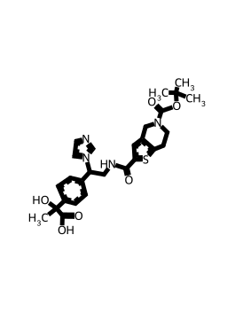 CC(C)(C)OC(=O)N1CCc2sc(C(=O)NCC(c3ccc(C(C)(O)C(=O)O)cc3)n3ccnc3)cc2C1